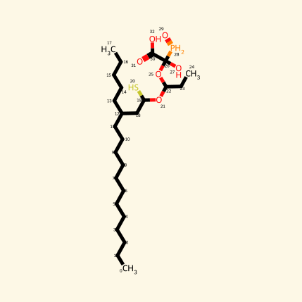 CCCCCCCCCCCCC(CCCCC)CC(S)OC(CC)OC(O)([PH2]=O)C(=O)O